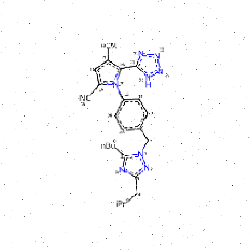 CCCCc1nc(CC(C)C)nn1Cc1ccc(-n2c(C#N)cc(C#N)c2-c2nnn[nH]2)cc1